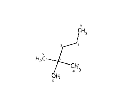 CCCC(C)(C)O